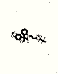 O=C1N(CCc2noc(C(F)(F)F)n2)c2ccccc2C12COc1cc3c(cc12)OCO3